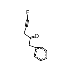 O=C(CC#CF)Cc1ccccc1